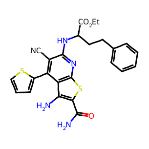 CCOC(=O)C(CCc1ccccc1)Nc1nc2sc(C(N)=O)c(N)c2c(-c2cccs2)c1C#N